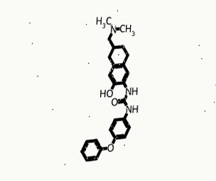 CN(C)CC1CCc2cc(NC(=O)Nc3ccc(Oc4ccccc4)cc3)c(O)cc2C1